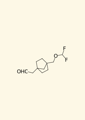 O=CCC12CCC(COC(F)F)(CC1)C2